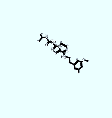 COc1cc(C)cc(CCNc2nccn3c(NC(=O)OC(C)C)nnc23)c1